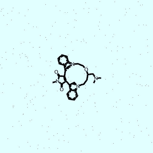 CN(C)CC1CCn2cc(c3ccccc32)C2=C(C(=O)N(C)C2=O)c2cn(c3ccccc23)CCO1